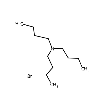 Br.CCCCN(CCCC)CCCC